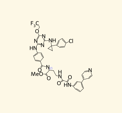 COC(=O)/C(CCNC(=O)C(=O)Nc1cccc(-c2ccncc2)c1)=N\C(=O)c1ccc(Nc2nc(NC3(c4ccc(Cl)cc4)CC3)nc(OCC(F)(F)F)n2)cc1